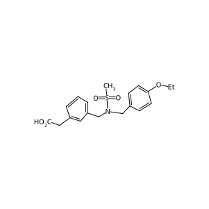 CCOc1ccc(CN(Cc2cccc(CC(=O)O)c2)S(C)(=O)=O)cc1